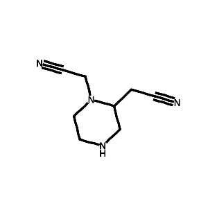 N#CCC1CNCCN1CC#N